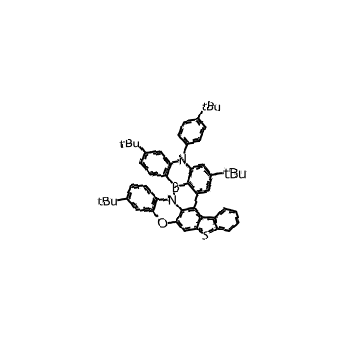 CC(C)(C)c1ccc(N2c3cc(C(C)(C)C)ccc3B3c4c(cc(C(C)(C)C)cc42)-c2c4c(cc5sc6ccccc6c25)Oc2cc(C(C)(C)C)ccc2N34)cc1